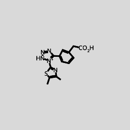 Cc1nc(-[n+]2[nH]nnc2-c2cccc(CC(=O)O)c2)sc1C